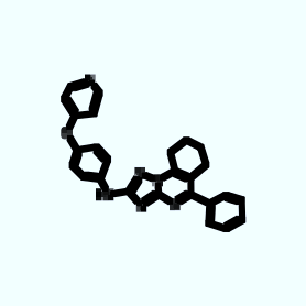 c1ccc(-c2nc3nc(Nc4ccc(Oc5ccncc5)cc4)nn3c3c2CCCC3)cc1